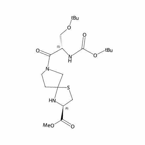 COC(=O)[C@@H]1CSC2(CCN(C(=O)[C@H](COC(C)(C)C)NC(=O)OC(C)(C)C)C2)N1